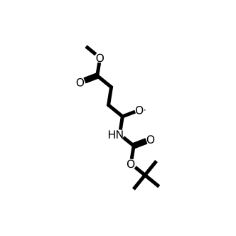 COC(=O)CCC([O])NC(=O)OC(C)(C)C